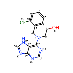 OCCN(Cc1ccccc1Cl)c1ncnc2nc[nH]c12